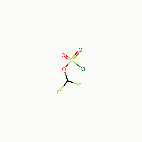 O=S(=O)(Cl)OC(F)F